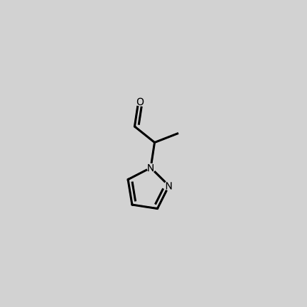 CC(C=O)n1cccn1